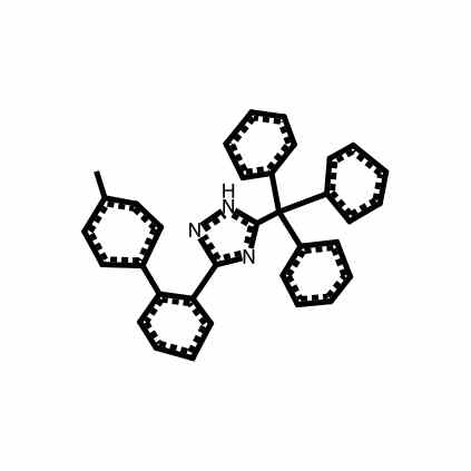 Cc1ccc(-c2ccccc2-c2n[nH]c(C(c3ccccc3)(c3ccccc3)c3ccccc3)n2)cc1